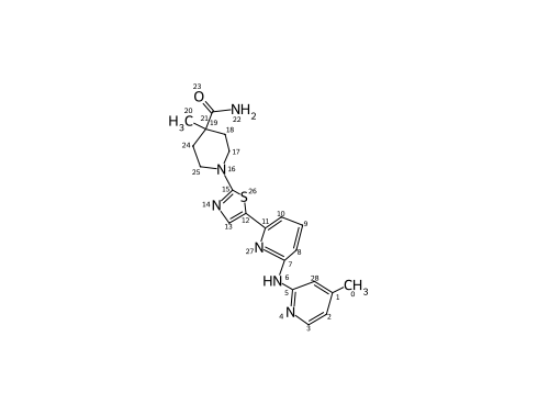 Cc1ccnc(Nc2cccc(-c3cnc(N4CCC(C)(C(N)=O)CC4)s3)n2)c1